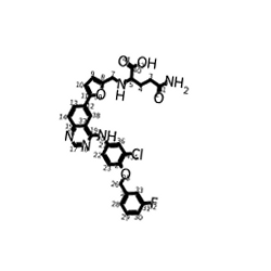 NC(=O)CCC(NCc1ccc(-c2ccc3ncnc(Nc4ccc(OCc5cccc(F)c5)c(Cl)c4)c3c2)o1)C(=O)O